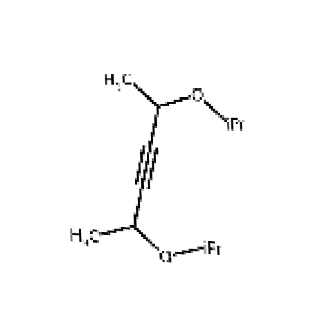 CC(C)OC(C)C#CC(C)OC(C)C